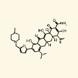 CN[C@@H]1C(O)=C(C(N)=O)C(=O)[C@@]2(O)C(O)=C3C(=O)c4c(O)c(-c5ccc(CN6CCN(C)CC6)o5)cc(N(C)C)c4C[C@H]3C[C@@H]12